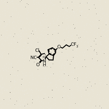 N#CC1=C(Cl)C[C@]2(CCc3cc(OCCCC(F)(F)F)ccc32)NC1=O